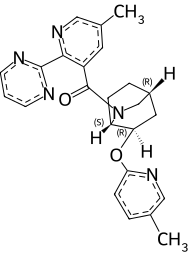 Cc1ccc(O[C@@H]2C[C@H]3CC[C@@H]2N(C(=O)c2cc(C)cnc2-c2ncccn2)C3)nc1